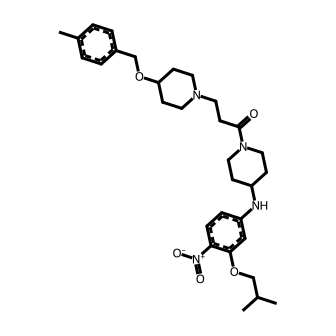 Cc1ccc(COC2CCN(CCC(=O)N3CCC(Nc4ccc([N+](=O)[O-])c(OCC(C)C)c4)CC3)CC2)cc1